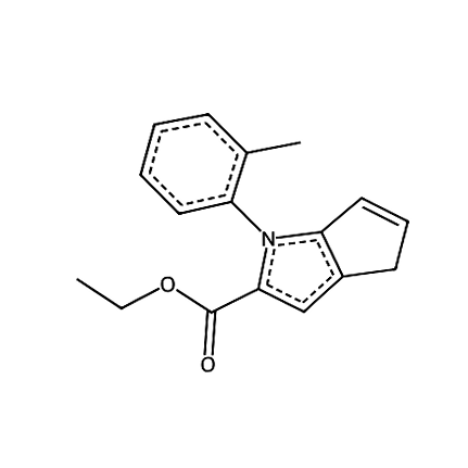 CCOC(=O)c1cc2c(n1-c1ccccc1C)C=CC2